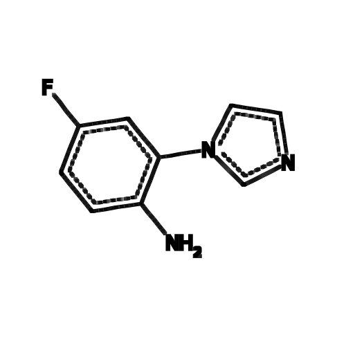 Nc1ccc(F)cc1-n1ccnc1